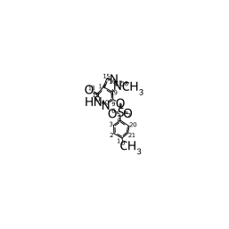 Cc1ccc(S(=O)(=O)Oc2n[nH]c(=O)c3cnn(C)c23)cc1